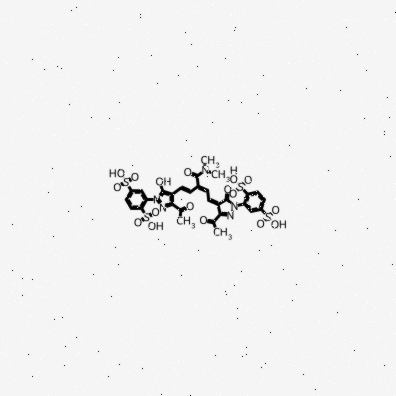 CC(=O)C1=NN(c2cc(S(=O)(=O)O)ccc2S(=O)(=O)O)C(=O)\C1=C/C=C(\C=C\c1c(C(C)=O)nn(-c2cc(S(=O)(=O)O)ccc2S(=O)(=O)O)c1O)C(=O)N(C)C